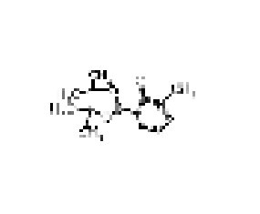 Cn1cccc(B2OC(C)(C)C(C)(C)O2)c1=O